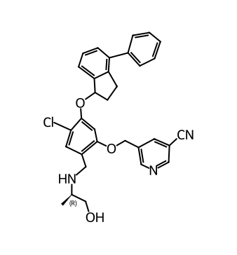 C[C@H](CO)NCc1cc(Cl)c(OC2CCc3c(-c4ccccc4)cccc32)cc1OCc1cncc(C#N)c1